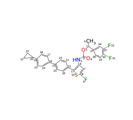 CC(OC(=O)Nc1cc(F)sc1-c1ccc(-c2ccc(C3CC3)cc2)cc1)c1ccc(F)c(F)c1